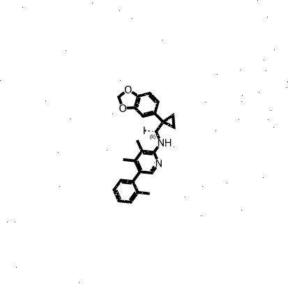 Cc1ccccc1-c1cnc(N[C@H](I)C2(c3ccc4c(c3)OCO4)CC2)c(C)c1C